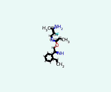 C=Cc1ccccc1C(=N)COC(=C\C)/N=C\C(F)=C(/C)N